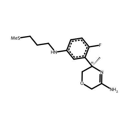 CSCCCNc1ccc(F)c([C@]2(C)COCC(N)=N2)c1